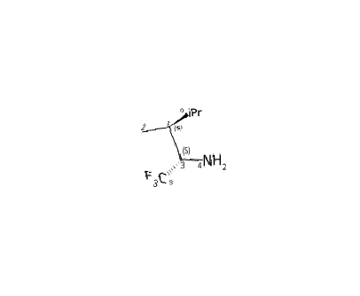 CC(C)[C@H](C)[C@H](N)C(F)(F)F